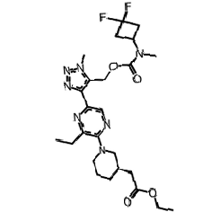 CCOC(=O)C[C@H]1CCCN(c2ncc(-c3nnn(C)c3COC(=O)N(C)C3CC(F)(F)C3)nc2CC)C1